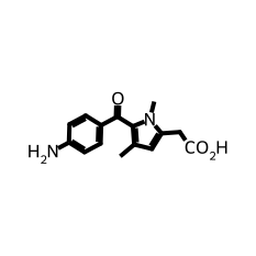 Cc1cc(CC(=O)O)n(C)c1C(=O)c1ccc(N)cc1